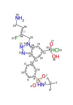 CC(C)(C)NS(=O)(=O)c1cccc(-c2cc(C(=O)O)cc3c2nnn3C/C(F)=C/CN)c1.Cl